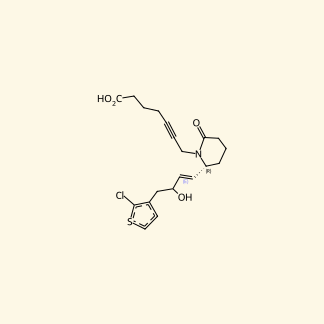 O=C(O)CCCC#CCN1C(=O)CCC[C@@H]1/C=C/C(O)Cc1ccsc1Cl